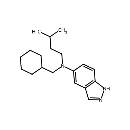 CC(C)CCN(CC1CCCCC1)c1ccc2[nH]ncc2c1